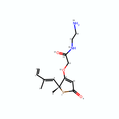 C=C/C(C)=C/[C@@]1(C)SC(=O)C=C1OCC(=O)NCCN